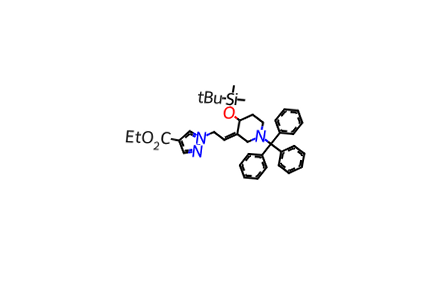 CCOC(=O)c1cnn(CC=C2CN(C(c3ccccc3)(c3ccccc3)c3ccccc3)CCC2O[Si](C)(C)C(C)(C)C)c1